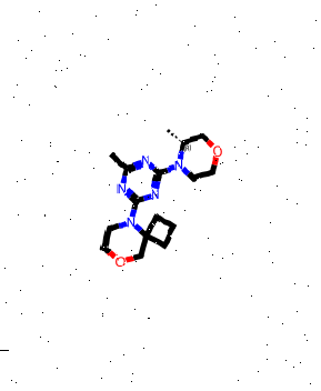 Cc1nc(N2CCOC[C@H]2C)nc(N2CCOCC23CCC3)n1